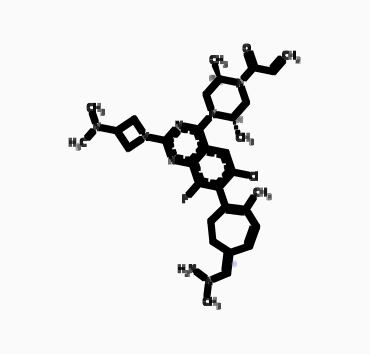 C=CC(=O)N1C[C@H](C)N(c2nc(N3CC(N(C)C)C3)nc3c(F)c(C4=C(C)C=C/C(=C/N(C)N)CC4)c(Cl)cc23)C[C@H]1C